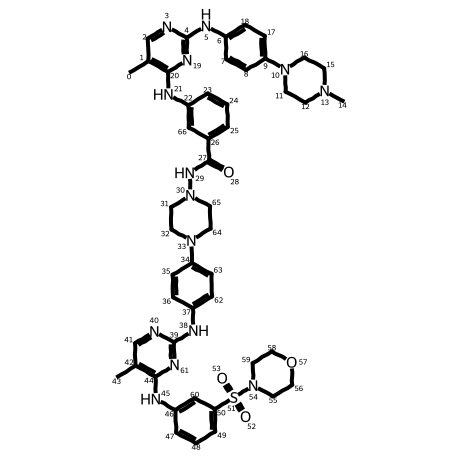 Cc1cnc(Nc2ccc(N3CCN(C)CC3)cc2)nc1Nc1cccc(C(=O)NN2CCN(c3ccc(Nc4ncc(C)c(Nc5cccc(S(=O)(=O)N6CCOCC6)c5)n4)cc3)CC2)c1